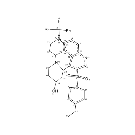 CCc1ccc(S(=O)(=O)c2cnc3ccc(OC(F)(F)F)cc3c2C2CC(O)CCN2C2CCNCC2)cc1